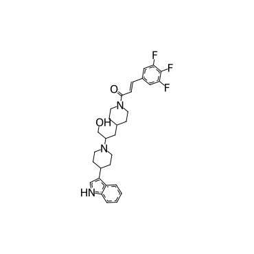 O=C(C=Cc1cc(F)c(F)c(F)c1)N1CCC(CC(CO)N2CCC(c3c[nH]c4ccccc34)CC2)CC1